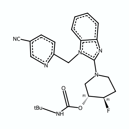 CC(C)(C)NC(=O)O[C@@H]1CN(c2nc3ccccc3n2Cc2ccc(C#N)cn2)CC[C@H]1F